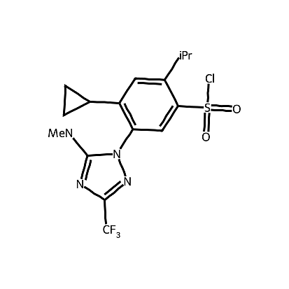 CNc1nc(C(F)(F)F)nn1-c1cc(S(=O)(=O)Cl)c(C(C)C)cc1C1CC1